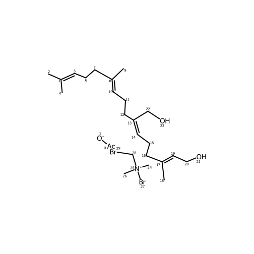 CC(=O)[O-].CC(C)=CCCC(C)=CCCC(=CCCC(C)=CCO)CO.C[N+](C)(Br)CBr